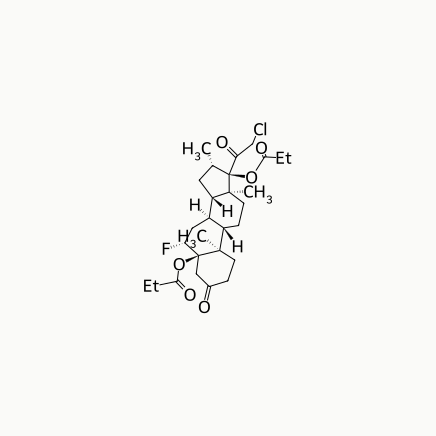 CCC(=O)O[C@]12CC(=O)CC[C@]1(C)[C@H]1CC[C@@]3(C)[C@@H](C[C@H](C)[C@]3(OC(=O)CC)C(=O)CCl)[C@@H]1C[C@H]2F